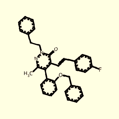 Cc1nn(CCc2ccccc2)c(=O)c(C=Cc2ccc(F)cc2)c1-c1ccccc1OCc1ccccc1